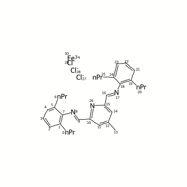 CCCc1cccc(CCC)c1N=Cc1cc(C)cc(C=Nc2c(CCC)cccc2CCC)n1.[Cl-].[Cl-].[Cl-].[Fe+3]